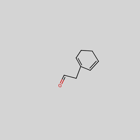 O=CCC1=CCCC=C1